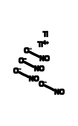 O=N[O-].O=N[O-].O=N[O-].O=N[O-].[Ti+4].[Ti]